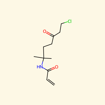 C=CC(=O)NC(C)(C)CCC(=O)CCCl